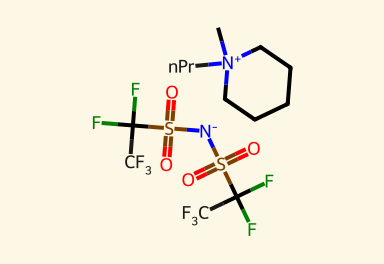 CCC[N+]1(C)CCCCC1.O=S(=O)([N-]S(=O)(=O)C(F)(F)C(F)(F)F)C(F)(F)C(F)(F)F